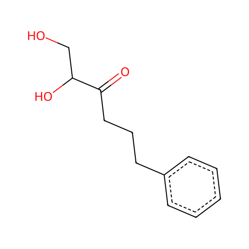 O=C(CCCc1ccccc1)C(O)CO